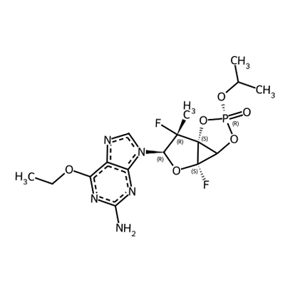 CCOc1nc(N)nc2c1ncn2[C@@H]1O[C@]2(F)C3O[P@@](=O)(OC(C)C)O[C@]32[C@@]1(C)F